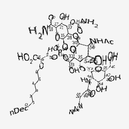 CCCCCCCCCCCCCCCCO[C@H](COP(=O)(O)O[C@H]1OC(C(N)=O)[C@H](O)[C@H](OC(N)=O)C1O[C@@H]1OC(CO)[C@@H](O[C@@H]2OC(CO)[C@H](O)C(O)[C@@H]2NC(=O)CN=[N+]=[N-])C(O)C1NC(C)=O)C(=O)O